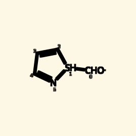 O=[C][SH]1C=CC=N1